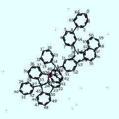 c1ccc(-c2cccc(-n3c4cc(N(c5ccccc5)c5ccc6c(c5)C(c5ccccc5)(c5ccccc5-c5ccccc5)c5ccccc5-6)ccc4c4ccc5ccccc5c43)c2)cc1